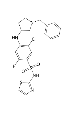 O=S(=O)(Nc1nccs1)c1cc(Cl)c(NC2CCN(Cc3ccccc3)C2)cc1F